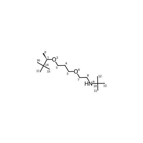 C[C@@H](OCCCOCCNC(C)(C)C)C(C)(C)C